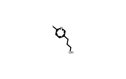 OCCCc1ccc(I)nc1